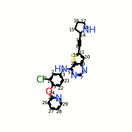 Clc1cc(Nc2ncnc3cc(C#CC4CCCN4)sc23)ccc1Oc1ccccn1